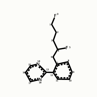 FCCCC(F)Cc1ccccc1-c1ncccn1